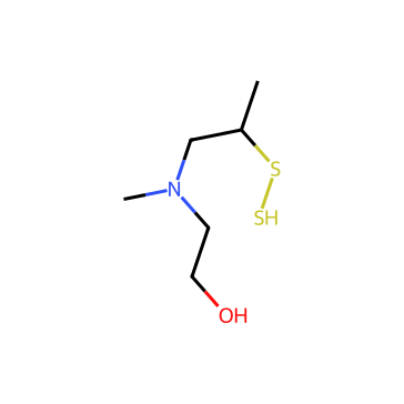 CC(CN(C)CCO)SS